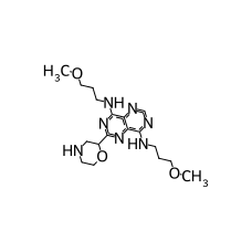 COCCCNc1nc(C2CNCCO2)nc2c(NCCCOC)ncnc12